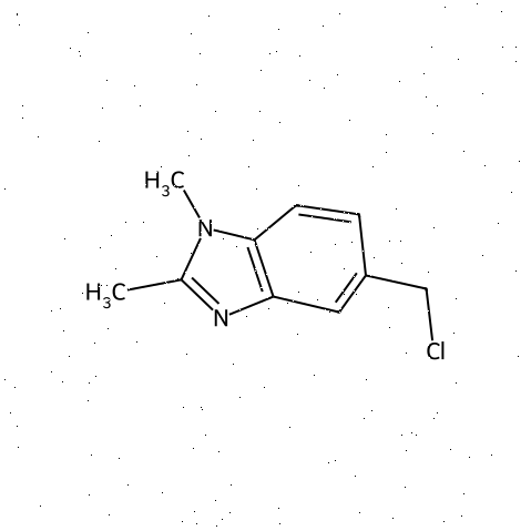 Cc1nc2cc(CCl)ccc2n1C